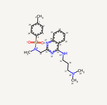 Cc1ccc(S(=O)(=O)N(C)Cc2nc(NCCCN(C)C)c3ccccc3n2)cc1